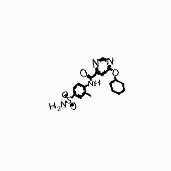 Cc1cc(S(N)(=O)=O)ccc1NC(=O)c1cc(OC2CCCCC2)ncn1